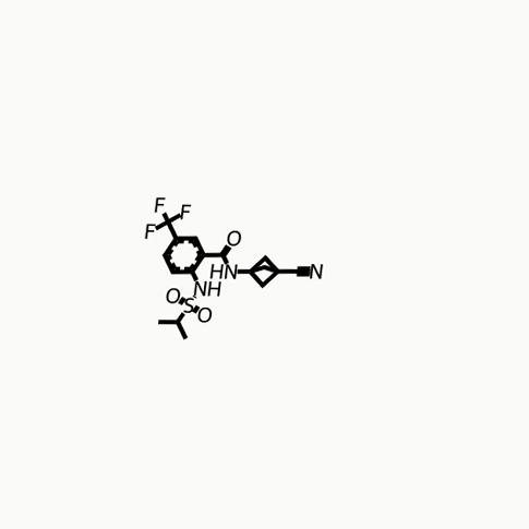 CC(C)S(=O)(=O)Nc1ccc(C(F)(F)F)cc1C(=O)NC12CC(C#N)(C1)C2